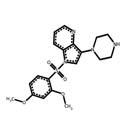 COc1ccc(S(=O)(=O)n2cc(N3CCNCC3)c3ncccc32)c(OC)c1